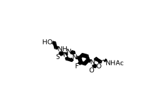 CC(=O)NC[C@H]1CN(c2ccc(N3C=NN(C(=S)NCCO)CC3)c(F)c2)C(=O)O1